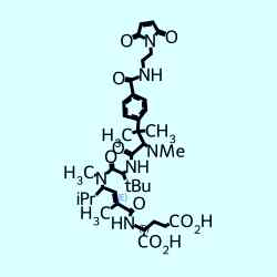 CNC(C(=O)NC(C(=O)N(C)C(/C=C(\C)C(=O)N[C@H](CCC(=O)O)C(=O)O)C(C)C)C(C)(C)C)C(C)(C)c1ccc(C(=O)NCCN2C(=O)C=CC2=O)cc1